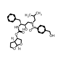 CC(C)CN(C[C@@H](O)[C@H](Cc1ccccc1)NC(=O)O[C@H]1CO[C@H]2OCC[C@H]21)[S+]([O-])c1ccc(CO)cc1